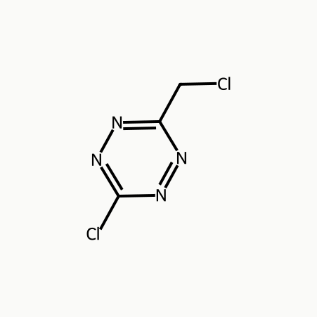 ClCc1nnc(Cl)nn1